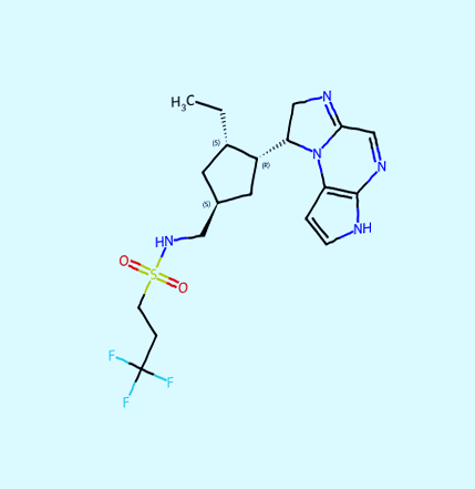 CC[C@H]1C[C@H](CNS(=O)(=O)CCC(F)(F)F)C[C@H]1C1CN=C2C=Nc3[nH]ccc3N21